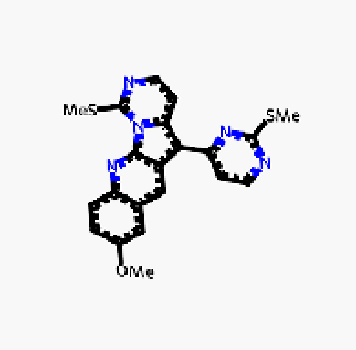 COc1ccc2nc3c(cc2c1)c(-c1ccnc(SC)n1)c1ccnc(SC)n13